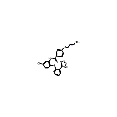 CCCC/C=C/COc1ccc(C(=O)Nc2cc(Cl)ccc2Sc2ccccc2-c2nnn[nH]2)cc1